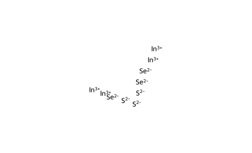 [In+3].[In+3].[In+3].[In+3].[S-2].[S-2].[S-2].[Se-2].[Se-2].[Se-2]